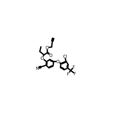 C#CCOC(=O)C(CC)Oc1cc(Oc2ccc(C(F)(F)F)cc2Cl)ccc1C#N